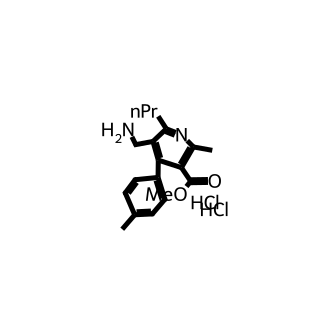 CCCc1nc(C)c(C(=O)OC)c(-c2ccc(C)cc2)c1CN.Cl.Cl